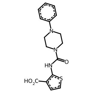 O=C(O)c1ccsc1NC(=O)N1CCN(c2ccccc2)CC1